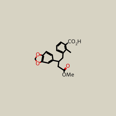 COC(=O)CC(Cc1cccc(C(=O)O)c1C)c1ccc2c(c1)OCO2